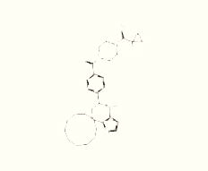 O=C(c1ccc(C2CC3(CCCCCCCCC3)c3occc3N2)cc1)N1CCN(C(=O)C2(O)CC2)CC1